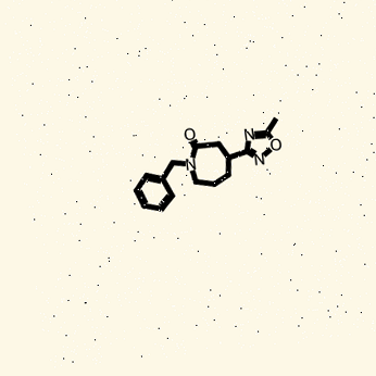 Cc1nc(C2CCCN(Cc3ccccc3)C(=O)C2)no1